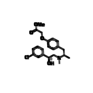 COC(=O)COc1ccc(CC(C)N(C)C[C@@H](O)c2cccc(Cl)c2)cc1